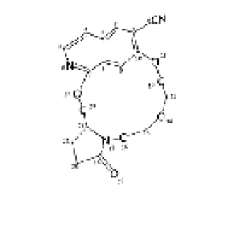 N#Cc1cc2ccnc3c2cc1OCCOCCN1C(=O)CCC1CO3